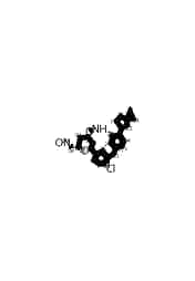 NO[C@@H]1CC(c2ccc(Cl)c(Cc3ccc(C4CCC5(CC5)C4)cc3)c2)O[C@H](CN=O)C1